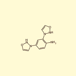 Nc1ccc(N2C=CON2)cc1N1C=CON1